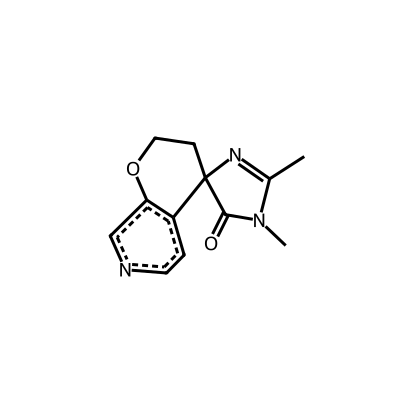 CC1=NC2(CCOc3cnccc32)C(=O)N1C